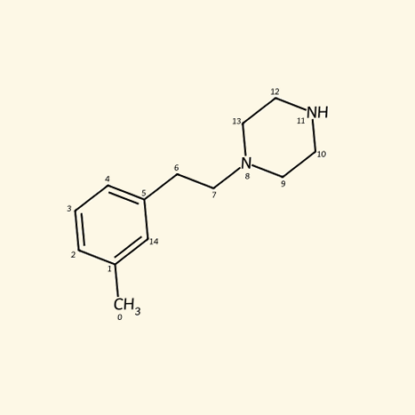 Cc1cccc(CCN2CCNCC2)c1